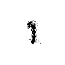 CCCc1nc(C)c2c(=O)[nH]c(-c3cc(S(=O)(=O)N4CCN(c5ncc(C(=O)Nc6ccccc6N)cn5)CC4)ccc3OCC)nn12